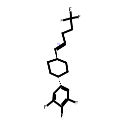 Fc1cc([C@H]2CC[C@H](/C=C/CCC(F)(F)F)CC2)cc(F)c1F